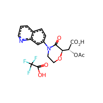 CC(=O)O[C@@H](C(=O)O)[C@H]1OCCN(c2ccc3cccnc3c2)C1=O.O=C(O)C(F)(F)F